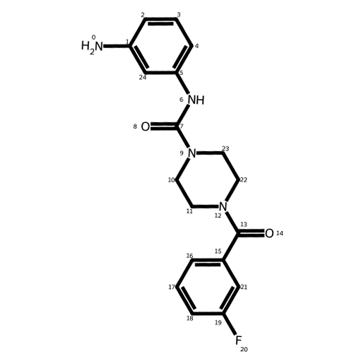 Nc1cccc(NC(=O)N2CCN(C(=O)c3cccc(F)c3)CC2)c1